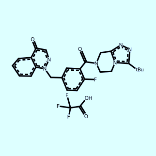 CC(C)(C)c1nnc2n1CCN(C(=O)c1cc(Cn3ncc(=O)c4ccccc43)ccc1F)C2.O=C(O)C(F)(F)F